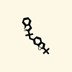 CC(C)(C)c1cc2ccc(CC(C)(C)c3cc4ccccc4s3)cc2o1